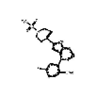 COc1ccc(F)cc1-c1ncnc2[nH]c(C3=CCN(S(=O)(=O)C(F)(F)F)CC3)cc12